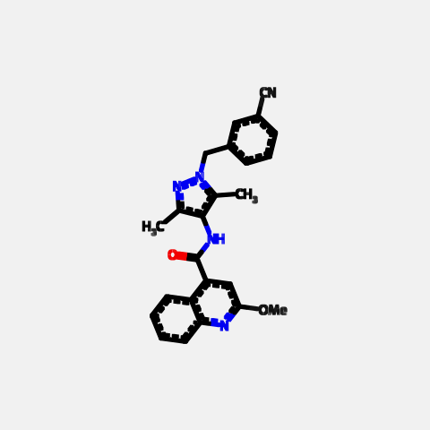 COc1cc(C(=O)Nc2c(C)nn(Cc3cccc(C#N)c3)c2C)c2ccccc2n1